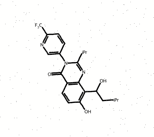 CC(C)CC(O)c1c(O)ccc2c(=O)n(-c3ccc(C(F)(F)F)nc3)c(C(C)C)nc12